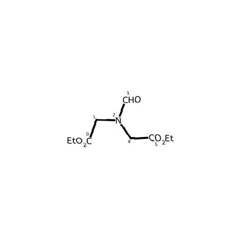 CCOC(=O)CN(C=O)CC(=O)OCC